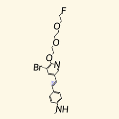 CNc1ccc(/C=C/c2cnc(OCCOCCOCCF)c(Br)c2)cc1